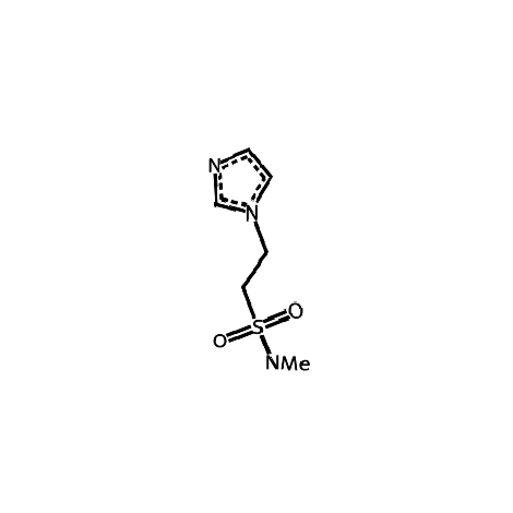 CNS(=O)(=O)CCn1ccnc1